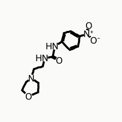 O=C(NCCN1CCOCC1)Nc1ccc([N+](=O)[O-])cc1